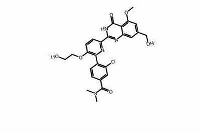 COc1cc(CO)cc2nc(-c3ccc(OCCO)c(-c4ccc(C(=O)N(C)C)cc4Cl)n3)[nH]c(=O)c12